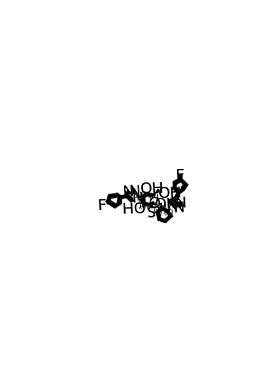 OC[C@H]1O[C@@H](S[C@@H]2CCC[C@H](n3cc(-c4ccc(F)cc4)nn3)[C@@H]2O)[C@H](O)[C@H](n2cc(-c3ccc(F)cc3)nn2)[C@H]1O